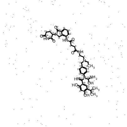 CCN(CCNC(=O)CCC(=O)Nc1cccc2c1CN(C1CCC(=O)NC1=O)C2=O)Cc1ccc(N(C(=N)c2cc(C(C)C)c(O)cc2O)C(N)O)cc1